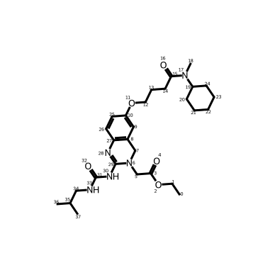 CCOC(=O)CN1Cc2cc(OCCCC(=O)N(C)C3CCCCC3)ccc2N=C1NC(=O)NCC(C)C